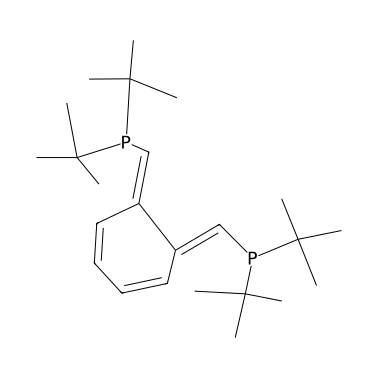 CC(C)(C)P(C=c1ccccc1=CP(C(C)(C)C)C(C)(C)C)C(C)(C)C